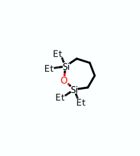 CC[Si]1(CC)CCCC[Si](CC)(CC)O1